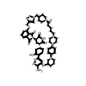 Nc1nnc(-c2ccccc2O)cc1OC1CCCN(c2ccc(N3CCN(CCCCC(=O)N4CCC(Cn5cc(COc6cccc7c6C(=O)N(C6CCC(=O)NC6=O)C7=O)nn5)CC4)CC3)cc2)C1